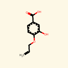 C=CCOc1ccc(C(=O)O)cc1O